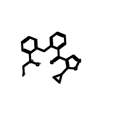 O=C(c1ccccc1Cc1ccccc1[S+]([O-])CF)c1cnoc1C1CC1